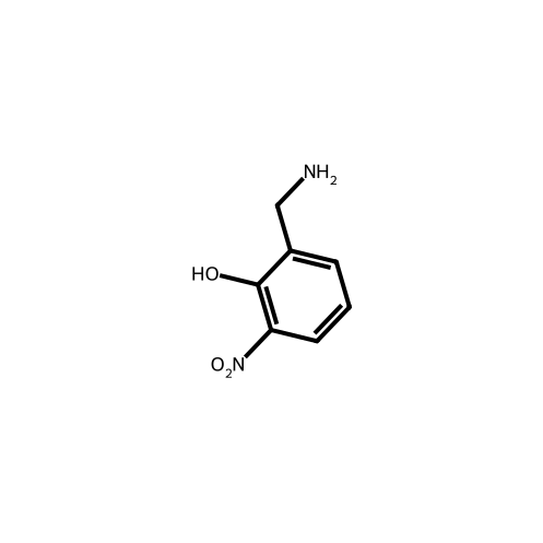 NCc1cccc([N+](=O)[O-])c1O